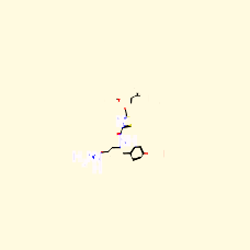 CC(=O)O[C@H](CCC(C)C)c1nc(C(=O)N[C@@H](Cc2ccc(O)cc2)C[C@H](C)C(=O)NN)cs1